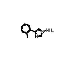 Cc1ccccc1-c1cn(N)cn1